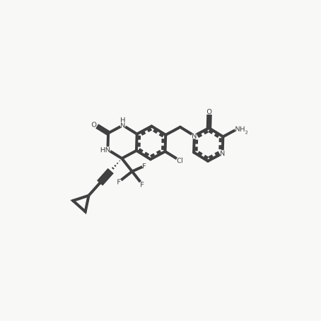 Nc1nccn(Cc2cc3c(cc2Cl)[C@@](C#CC2CC2)(C(F)(F)F)NC(=O)N3)c1=O